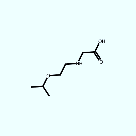 CC(C)OCCNCC(=O)O